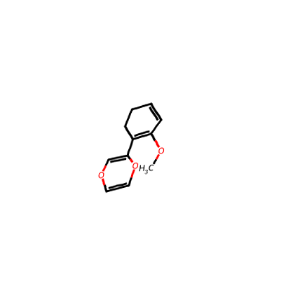 COC1=C(C2=COC=CO2)CCC=C1